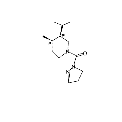 CC(C)[C@H]1CN(C(=O)N2CCC=N2)CC[C@H]1C